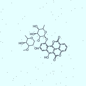 COC1[C@@H](O)C(C)O[C@H](OC2[C@H](Oc3cccc4c(O)c5c(=O)oc6cccc7c(=O)oc(c34)c5c67)OC(C)[C@H](O)[C@@H]2O)[C@@H]1O